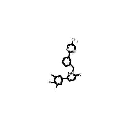 Cc1cnc(-c2cccc(Cn3nc(-c4cc(F)c(F)c(F)c4)ccc3=S)c2)nc1